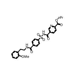 CCCOC(=O)c1ccc(C(=O)NS(=O)(=O)c2ccc(C(=O)NCCc3ccccc3OC)cc2)cn1